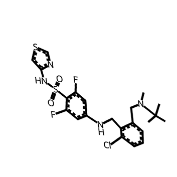 CN(Cc1cccc(Cl)c1CNc1cc(F)c(S(=O)(=O)Nc2cscn2)c(F)c1)C(C)(C)C